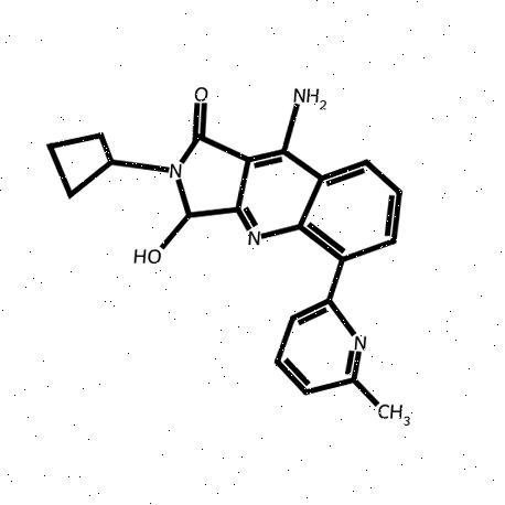 Cc1cccc(-c2cccc3c(N)c4c(nc23)C(O)N(C2CCC2)C4=O)n1